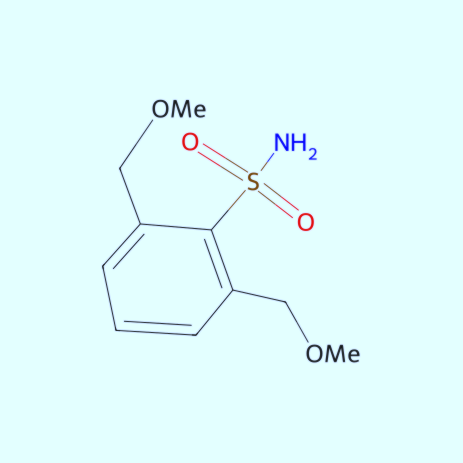 COCc1cccc(COC)c1S(N)(=O)=O